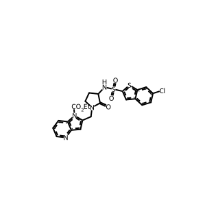 CCOC(=O)n1c(CN2CCC(NS(=O)(=O)c3cc4ccc(Cl)cc4s3)C2=O)cc2ncccc21